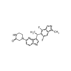 C[C@@H](c1c(F)cc2c(cnn2C)c1F)c1cnc2ccc(N3CCNC(=O)C3)nn12